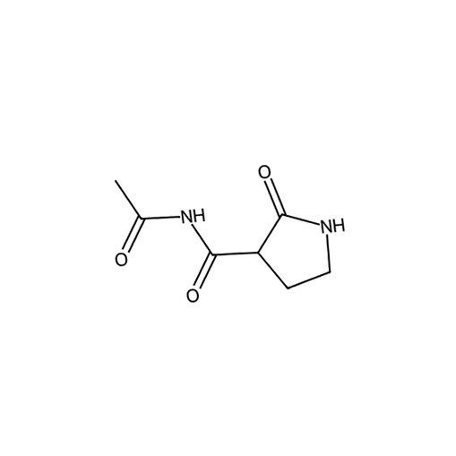 CC(=O)NC(=O)C1CCNC1=O